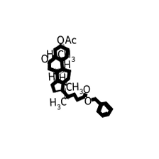 CC(=O)O[C@@H]1CC[C@@]2(C)[C@@H](C1)C(=O)C[C@@H]1[C@@H]2CC[C@]2(C)[C@@H]([C@H](C)CCC(=O)OCc3ccccc3)CC[C@@H]12